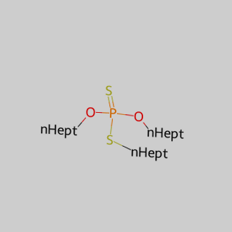 CCCCCCCOP(=S)(OCCCCCCC)SCCCCCCC